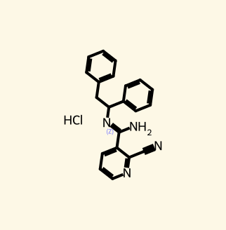 Cl.N#Cc1ncccc1/C(N)=N/C(Cc1ccccc1)c1ccccc1